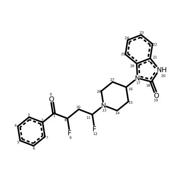 O=C(c1ccccc1)C(F)CC(F)N1CCC(n2c(=O)[nH]c3ccccc32)CC1